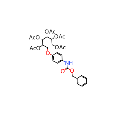 CC(=O)OC[C@H](OC(C)=O)[C@@H](OC(C)=O)[C@@H](OC(C)=O)[C@@H](COc1ccc(NC(=O)OCc2ccccc2)cc1)OC(C)=O